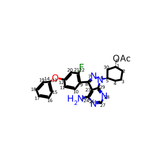 CC(=O)O[C@@H]1CCC[C@@H](n2nc(-c3ccc(Oc4ccccc4)cc3F)c3c(N)ncnc32)C1